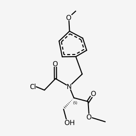 COC(=O)[C@H](CO)N(Cc1ccc(OC)cc1)C(=O)CCl